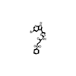 O=C(CCS(=O)(=O)c1ccccc1)Nc1nc(-c2c[nH]c3ncc(Br)cc23)cs1